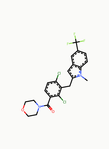 Cn1c(Cc2c(Cl)ccc(C(=O)N3CCOCC3)c2Cl)cc2cc(C(F)(F)F)ccc21